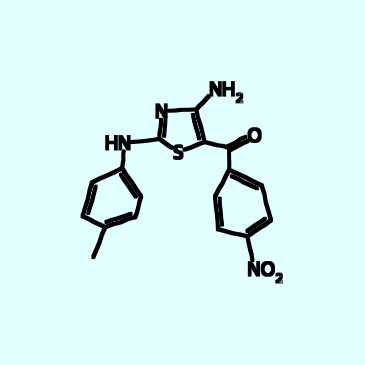 Cc1ccc(Nc2nc(N)c(C(=O)c3ccc([N+](=O)[O-])cc3)s2)cc1